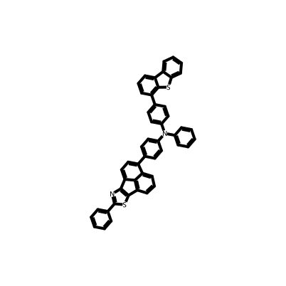 c1ccc(-c2nc3c(s2)-c2cccc4c(-c5ccc(N(c6ccccc6)c6ccc(-c7cccc8c7sc7ccccc78)cc6)cc5)ccc-3c24)cc1